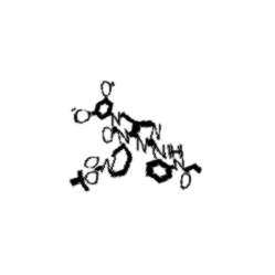 C=CC(=O)Nc1ccccc1Nc1ncc2c(n1)N(C1CCCN(C(=O)OC(C)(C)C)C1)C(=O)N(c1cc(OC)cc(OC)c1)C2